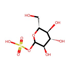 O=S(=O)(O)OC1O[C@H](CO)[C@@H](O)[C@H](O)[C@H]1O